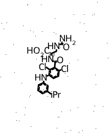 CC(C)c1cccc(Nc2ccc(Cl)c(C(=O)N[C@@H](CNC(N)=O)C(=O)O)c2Cl)c1